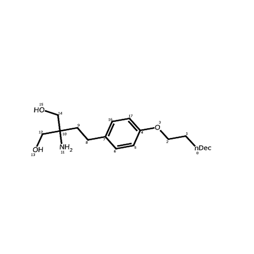 CCCCCCCCCCCCOc1ccc(CCC(N)(CO)CO)cc1